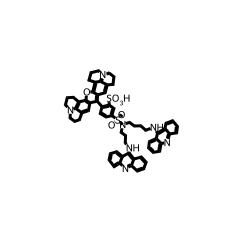 O=S(=O)(O)c1cc(S(=O)(=O)N(CCCCNc2c3ccccc3nc3ccccc23)CCCNc2c3ccccc3nc3ccccc23)ccc1C1=c2cc3c4c(c2Oc2c1cc1c5c2CCCN5CCC1)CCC[N+]=4CCC3